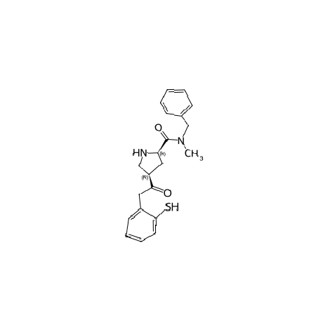 CN(Cc1ccccc1)C(=O)[C@H]1C[C@@H](C(=O)Cc2ccccc2S)CN1